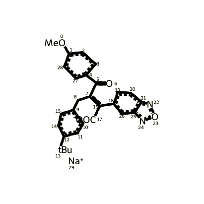 COc1ccc(C(=O)/C(Cc2ccc(C(C)(C)C)cc2)=C(/C(=O)[O-])c2ccc3nonc3c2)cc1.[Na+]